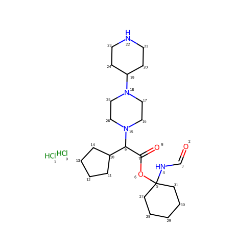 Cl.Cl.O=CNC1(OC(=O)C(C2CCCC2)N2CCN(C3CCNCC3)CC2)CCCCC1